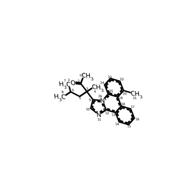 CC(=O)C(C)(CC(C)C)c1cnc2c3ccccc3c3c(C)cccc3n12